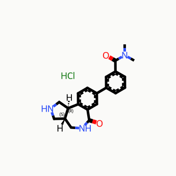 CN(C)C(=O)c1cccc(-c2ccc3c(c2)C(=O)NC[C@@H]2CNC[C@@H]32)c1.Cl